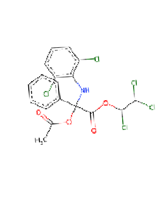 CC(=O)OC(Nc1c(Cl)cccc1Cl)(C(=O)OC(Cl)C(Cl)Cl)c1ccccc1